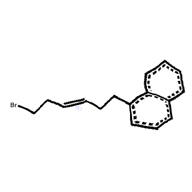 BrCC/C=C/CCc1cccc2ccccc12